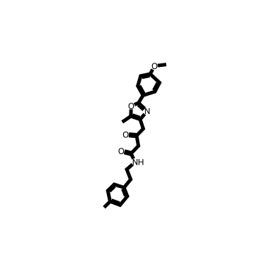 COc1ccc(-c2nc(CC(=O)CC(=O)NCCc3ccc(C)cc3)c(C)o2)cc1